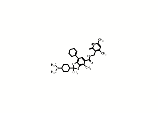 Cc1cc(C)c(CNC(=O)c2cc(C3=CCCCC3)c3c(c2C)OC(C)(C2CCC(N(C)C)CC2)O3)c(=O)[nH]1